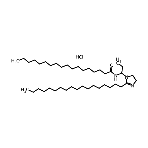 CCCCCCCCCCCCCCCCCCC1=NCCN1C(CC)NC(=O)CCCCCCCCCCCCCCCCC.Cl